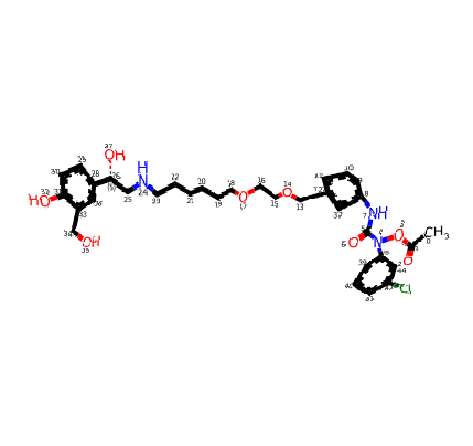 CC(=O)ON(C(=O)Nc1cccc(COCCOCCCCCCNC[C@@H](O)c2ccc(O)c(CO)c2)c1)c1cccc(Cl)c1